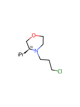 CC(C)[C@H]1COCCN1CCCCl